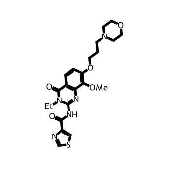 CCn1c(NC(=O)c2cscn2)nc2c(OC)c(OCCCN3CCOCC3)ccc2c1=O